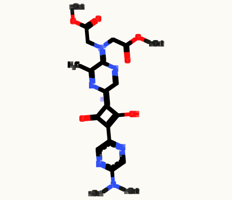 CCCCCCCCOC(=O)C[N+](CC(=O)OCCCCCCCC)=C1N=C/C(=C2/C(=O)C(c3cnc(N(CCCCCCCC)CCCCCCCC)cn3)=C2O)N=C1C